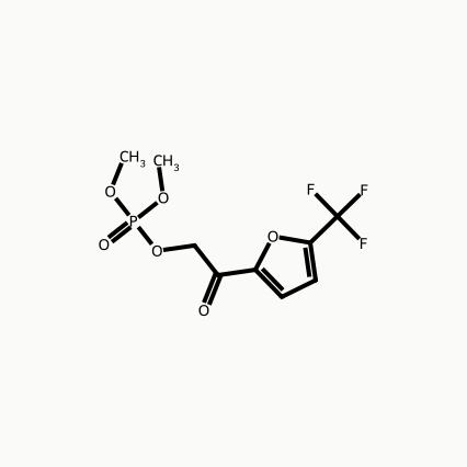 COP(=O)(OC)OCC(=O)c1ccc(C(F)(F)F)o1